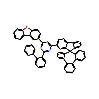 c1ccc(-c2ccccc2-c2nc(-c3ccc4c(c3)C3(c5ccccc5-c5ccccc5-c5ccccc53)c3ccccc3-4)cc(-c3ccc4oc5ccccc5c4c3)n2)cc1